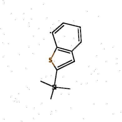 C[Si](C)(C)c1cc2ccc[c]c2s1